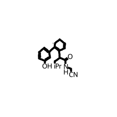 CC(C)CC(C(=O)NCC#N)C1=C(c2cccc(O)c2)[CH]CC=C1